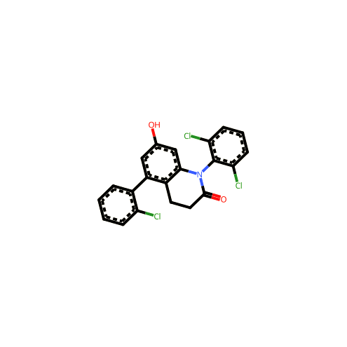 O=C1CCc2c(-c3ccccc3Cl)cc(O)cc2N1c1c(Cl)cccc1Cl